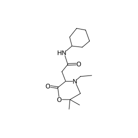 CCN1CC(C)(C)OC(=O)C1CC(=O)NC1CCCCC1